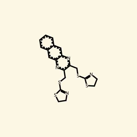 c1ccc2cc3nc(CSC4=NCCS4)c(CSC4=NCCS4)nc3cc2c1